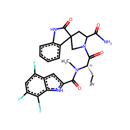 CC(C)C[C@@H](C(=O)N1CC2(CC1C(N)=O)C(=O)Nc1ccccc12)N(C)C(=O)c1cc2c(F)cc(F)c(F)c2[nH]1